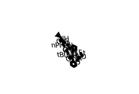 CCC[C@H](NC(=O)[C@@H]1[C@H]2CCC[C@H]2CN1C(=O)[C@@H](NC(=O)C(NC(=O)[C@@H](C)NC(=O)CC)C1CCCCC1)C(C)(C)C)C(=O)C(=O)NC1CC1